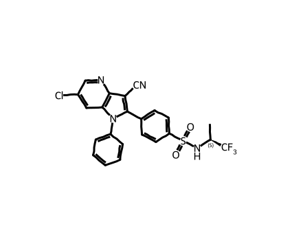 C[C@H](NS(=O)(=O)c1ccc(-c2c(C#N)c3ncc(Cl)cc3n2-c2ccccc2)cc1)C(F)(F)F